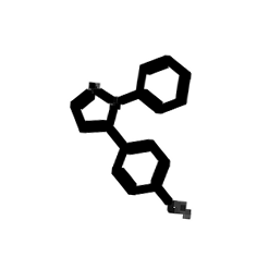 Cc1ccc(-c2ccnn2-c2ccccc2)cc1